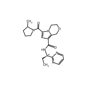 CC[C@@H](NC(=O)c1cc(C(=O)N2CCCC2C)n2c1COCC2)c1ncccn1